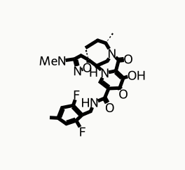 CNC1=NO[C@@]2(CC[C@H](C)N3C[C@H]2n2cc(C(=O)NCc4c(F)cc(C)cc4F)c(=O)c(O)c2C3=O)C1